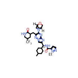 CCn1nccc1C(=O)N[C@H](c1cn2nc(CC3C[C@@H](C(F)(F)F)CNC3=O)c(N3C[C@H]4C[C@@H]3CO4)nc2n1)C1CCC(C)CC1